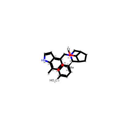 CCOC1C2CCC1[C@@H](c1ccc(C(=O)O)cc1)N(Cc1c(OC)cc(C)c3[nH]ccc13)C2